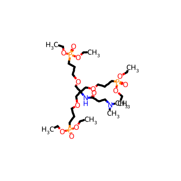 CCOP(=O)(CCCOCC(COCCCP(=O)(OCC)OCC)(COCCCP(=O)(OCC)OCC)NC(=O)CCN(C)C)OCC